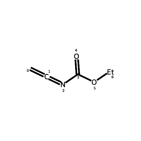 C=C=NC(=O)OCC